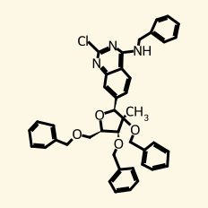 C[C@@]1(OCc2ccccc2)[C@H](OCc2ccccc2)[C@@H](COCc2ccccc2)O[C@H]1c1ccc2c(NCc3ccccc3)nc(Cl)nc2c1